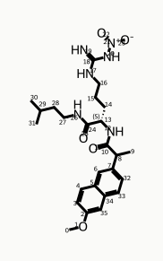 COc1ccc2cc(C(C)C(=O)N[C@@H](CCCNC(=N)N[N+](=O)[O-])C(=O)N[CH]CC(C)C)ccc2c1